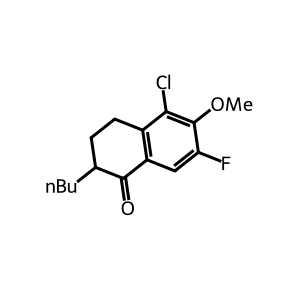 CCCCC1CCc2c(cc(F)c(OC)c2Cl)C1=O